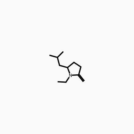 C=C1CCC(CC(C)C)N1CC